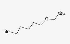 CC(C)(C)COCCCCCBr